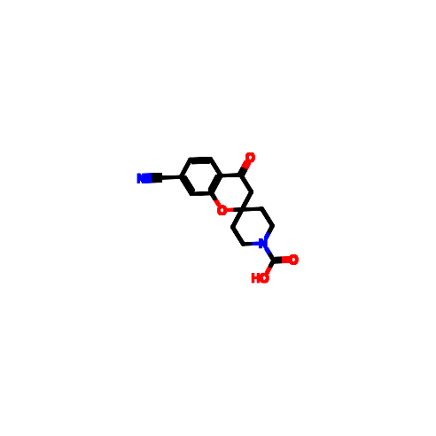 N#Cc1ccc2c(c1)OC1(CCN(C(=O)O)CC1)CC2=O